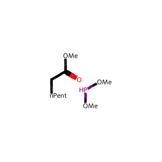 CCCCCCC(=O)OC.COPOC